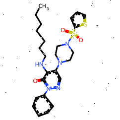 CCCCCCCNc1c(N2CCN(S(=O)(=O)c3cccs3)CC2)cnn(-c2ccccc2)c1=O